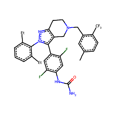 CCc1cccc(CC)c1-n1nc2c(c1-c1cc(F)c(NC(N)=O)cc1F)CN(Cc1cc(C)ccc1C(F)(F)F)CC2